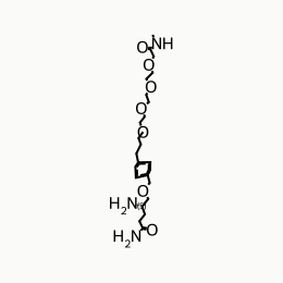 CNC(=O)COCCOCCOCCOCCCc1ccc(COC[C@@H](N)CCC(N)=O)cc1